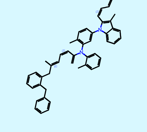 C=C/C=C\c1c(C)c2ccccc2n1-c1ccc(C)c(N(C(=C)/C=C\C=C(/C)Cc2ccccc2Cc2ccccc2)c2ccccc2C)c1